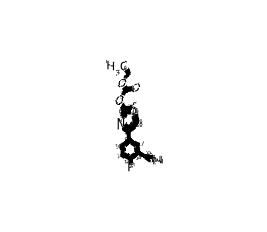 CCOC(=O)Oc1nc(-c2ccc(F)c(C#N)c2)cs1